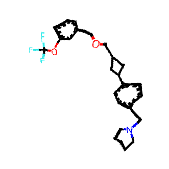 FC(F)(F)Oc1cccc(COCC2CC(c3ccc(CN4CCCC4)cc3)C2)c1